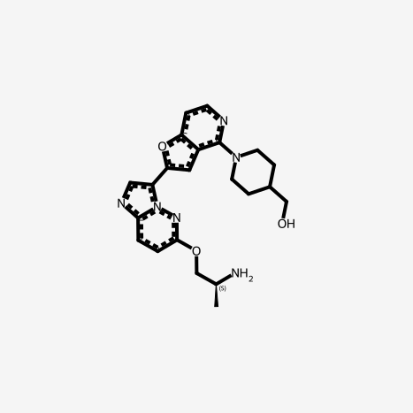 C[C@H](N)COc1ccc2ncc(-c3cc4c(N5CCC(CO)CC5)nccc4o3)n2n1